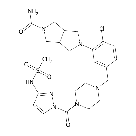 CS(=O)(=O)Nc1ccn(C(=O)N2CCN(Cc3ccc(Cl)c(N4CC5CN(C(N)=O)CC5C4)c3)CC2)n1